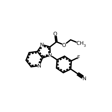 CCOC(=O)c1nc2cccnc2n1-c1ccc(C#N)c(F)c1